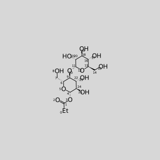 CCC(=O)O[C@@H]1O[C@H](CO)[C@@H](O[C@H]2O[C@H](CO)[C@@H](O)[C@H](O)[C@H]2O)[C@H](O)[C@H]1O